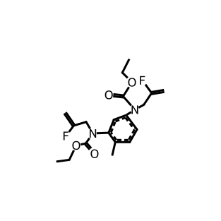 C=C(F)CN(C(=O)OCC)c1ccc(C)c(N(CC(=C)F)C(=O)OCC)c1